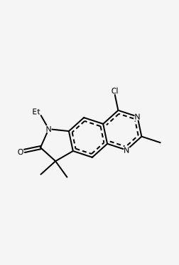 CCN1C(=O)C(C)(C)c2cc3nc(C)nc(Cl)c3cc21